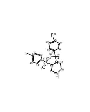 Cc1ccc(S(=O)(=O)C2CNCCN2C(C)(C)c2ccc(F)cc2)cc1